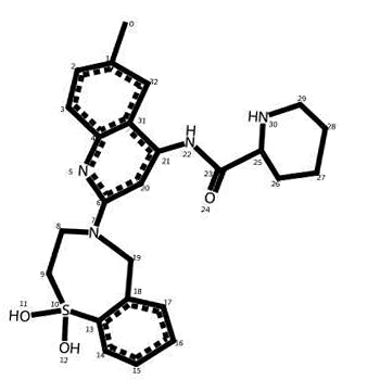 Cc1ccc2nc(N3CCS(O)(O)c4ccccc4C3)cc(NC(=O)C3CCCCN3)c2c1